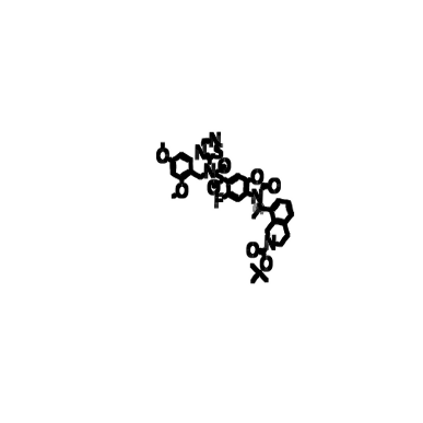 COc1ccc(CN(c2ncns2)S(=O)(=O)c2cc3oc(=O)n([C@H](C)c4cccc5c4CN(C(=O)OC(C)(C)C)CC5)c3cc2F)c(OC)c1